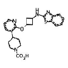 O=C(O)N1CCC(c2cccnc2O[C@H]2C[C@H](Nc3nc4ccccc4s3)C2)CC1